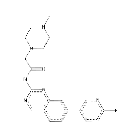 CN1CCN(CC(=O)Nc2ncc3ccc(-c4ccc(F)nc4)cc3n2)CC1